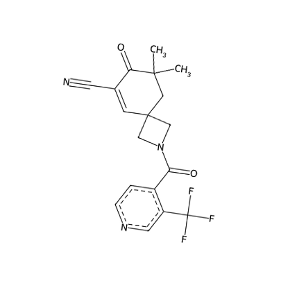 CC1(C)CC2(C=C(C#N)C1=O)CN(C(=O)c1ccncc1C(F)(F)F)C2